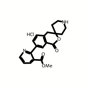 COC(=O)c1cccnc1-c1ccc2c(c1)C(=O)OC1(CCNCC1)C2.Cl